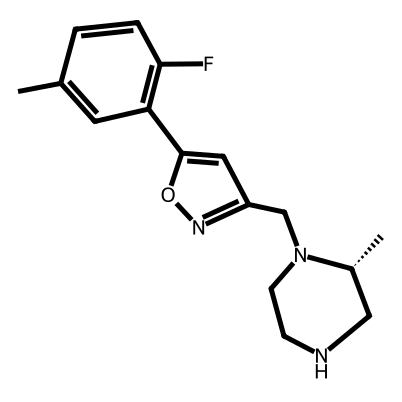 Cc1ccc(F)c(-c2cc(CN3CCNC[C@H]3C)no2)c1